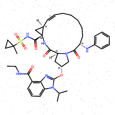 CCNC(=O)c1cccc2c1nc(O[C@@H]1C[C@H]3C(=O)N[C@]4(C(=O)NS(=O)(=O)C5(C)CC5)C[C@H]4/C=C\CCCCC[C@H](Nc4ccccc4)C(=O)N3C1)n2C(C)C